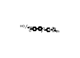 CC(C)c1noc(N2CCC(COc3ccc(C4=CCC(C(=O)NCC(=O)O)CC4)cc3F)CC2)n1